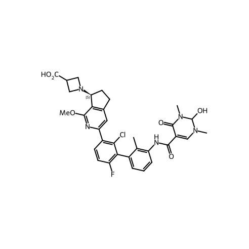 COc1nc(-c2ccc(F)c(-c3cccc(NC(=O)C4=CN(C)C(O)N(C)C4=O)c3C)c2Cl)cc2c1[C@@H](N1CC(C(=O)O)C1)CC2